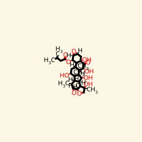 CC(C)CC(=O)O[C@H]1[C@H]2O[C@H]2C[C@]2(O)C(=O)[C@H](O)[C@H]3[C@@H]4[C@@H](O)[C@@H]5[C@H]([C@H](C)[C@H]6O[C@]67OC[C@@](C)(O)[C@]57C)[C@@]4(C)[C@@H](O)C[C@@H]3[C@@]12C